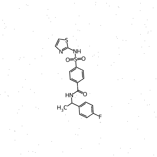 CC(NC(=O)c1ccc(S(=O)(=O)Nc2nccs2)cc1)c1ccc(F)cc1